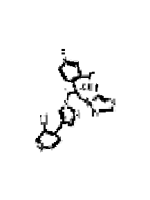 C[C@@H](n1cc(-c2ccncc2Cl)cn1)[C@](O)(Cn1cncn1)c1ccc(F)cc1F